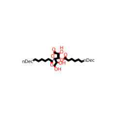 CCCCCCCCCCCCCCCC(=O)OC1=C(O)C(=O)O[C@]1(C(=O)CCCCCCCCCCCCCCC)[C@@H](O)CO